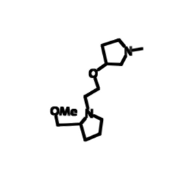 COCC1CCCN1CCOC1CCN(C)C1